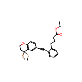 CCOC(=O)CCCc1ccccc1C#Cc1ccc2c(c1)C(SC)(SC)CCO2